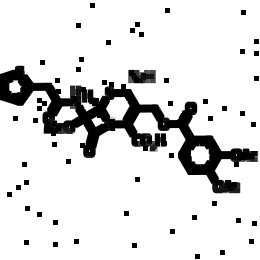 COC1(NC(=O)Cc2cccs2)C(=O)N2C(C(=O)O)=C(COC(=O)c3ccc(OC(C)=O)c(OC(C)=O)c3)CS[C@@H]21.[NaH]